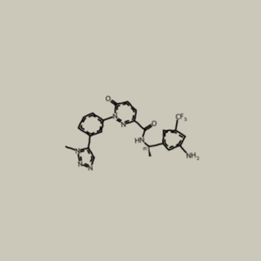 C[C@@H](NC(=O)c1ccc(=O)n(-c2cccc(-c3cnnn3C)c2)n1)c1cc(N)cc(C(F)(F)F)c1